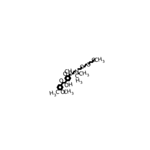 COCCOCCOCCN(CCOc1ccc(C(O)C(=O)c2ccc(C)c(OC)c2)cc1OC)C(C)C